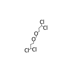 ClC(Cl)CCOCOCCC(Cl)Cl